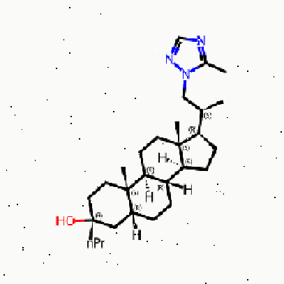 CCC[C@@]1(O)CC[C@@]2(C)[C@H](CC[C@@H]3[C@@H]2CC[C@]2(C)[C@@H]([C@H](C)Cn4ncnc4C)CC[C@@H]32)C1